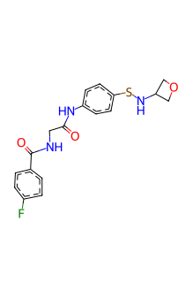 O=C(CNC(=O)c1ccc(F)cc1)Nc1ccc(SNC2COC2)cc1